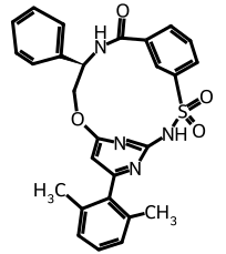 Cc1cccc(C)c1-c1cc2nc(n1)NS(=O)(=O)c1cccc(c1)C(=O)N[C@H](c1ccccc1)CO2